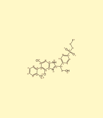 O=S(=O)(CCF)c1ccc(C(CO)c2nc3c(Cl)c(-c4ccccc4C(F)(F)F)c(Cl)cc3[nH]2)cc1